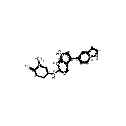 CN1C[C@@H](Nc2ncc3c(-c4ccn5nccc5c4)c[nH]c3n2)CCC1=O